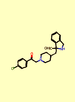 O=CC1(CC2CCN(CC(=O)c3ccc(Cl)cc3)CC2)NCc2ccccc21